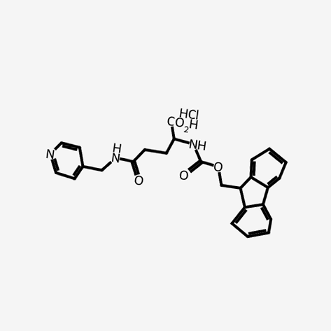 Cl.O=C(CCC(NC(=O)OCC1c2ccccc2-c2ccccc21)C(=O)O)NCc1ccncc1